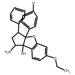 CCOc1ccc2c(c1)OC1(c3ccc(Cl)cc3)C(c3ccccc3)CC(N)C21O